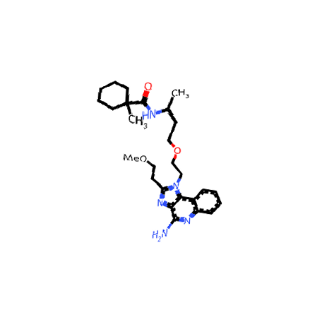 COCCc1nc2c(N)nc3ccccc3c2n1CCOCCC(C)NC(=O)C1(C)CCCCC1